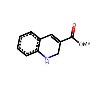 COC(=O)C1=Cc2ccccc2NC1